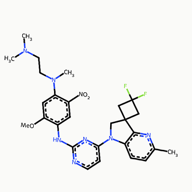 COc1cc(N(C)CCN(C)C)c([N+](=O)[O-])cc1Nc1nccc(N2CC3(CC(F)(F)C3)c3nc(C)ccc32)n1